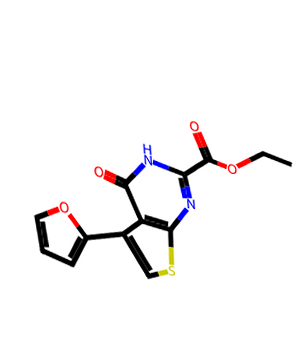 CCOC(=O)c1nc2scc(-c3ccco3)c2c(=O)[nH]1